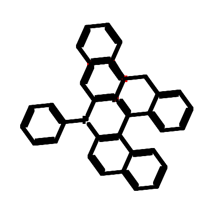 c1ccc([C@H]2Cc3ccccc3C(c3c(P(c4ccccc4)c4ccccc4)ccc4ccccc34)=N2)cc1